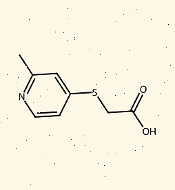 Cc1cc(SCC(=O)O)ccn1